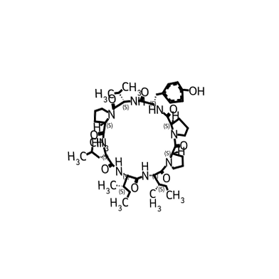 CC[C@H](C)[C@@H]1NC(=O)[C@H](CC(C)C)NC(=O)[C@@H]2CCCN2C(=O)[C@H](C(C)C)NC(=O)[C@H](Cc2ccc(O)cc2)NC(=O)[C@@H]2CCCN2C(=O)[C@@H]2CCCN2C(=O)[C@H]([C@@H](C)CC)NC1=O